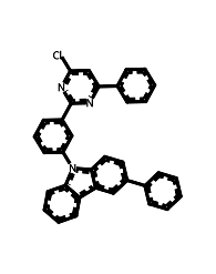 Clc1cc(-c2ccccc2)nc(-c2cccc(-n3c4ccccc4c4cc(-c5ccccc5)ccc43)c2)n1